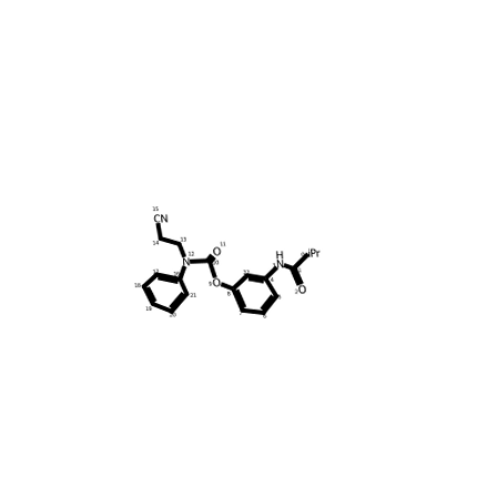 CC(C)C(=O)Nc1cccc(OC(=O)N(CCC#N)c2ccccc2)c1